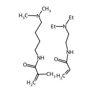 C=C(C)C(=O)NCCCCN(C)C.C=CC(=O)NCCN(CC)CC